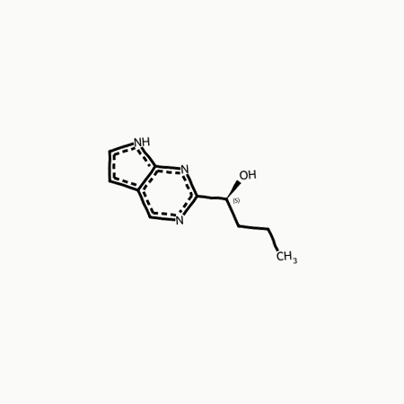 CCC[C@H](O)c1ncc2cc[nH]c2n1